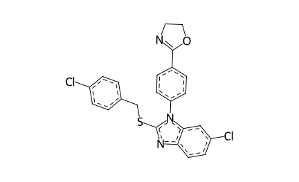 Clc1ccc(CSc2nc3ccc(Cl)cc3n2-c2ccc(C3=NCCO3)cc2)cc1